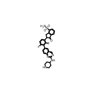 NS(=O)(=O)c1cccc2c1CC(c1ccc(F)c(-c3ccc4nc(NC5CCNCC5)ncc4c3)c1F)C2=O